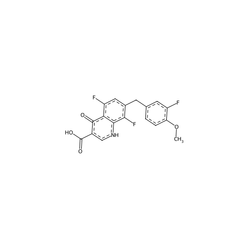 COc1ccc(Cc2cc(F)c3c(=O)c(C(=O)O)c[nH]c3c2F)cc1F